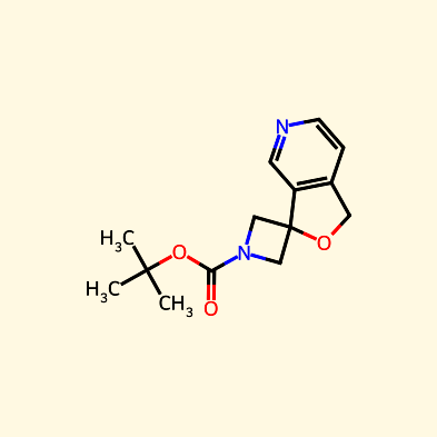 CC(C)(C)OC(=O)N1CC2(C1)OCc1ccncc12